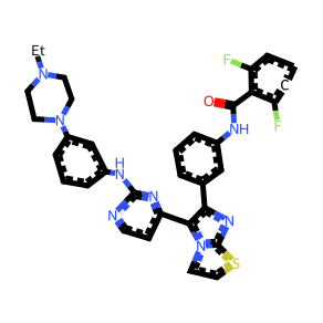 CCN1CCN(c2cccc(Nc3nccc(-c4c(-c5cccc(NC(=O)c6c(F)cccc6F)c5)nc5sccn45)n3)c2)CC1